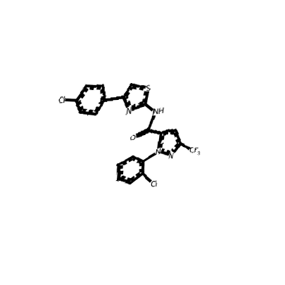 O=C(Nc1nc(-c2ccc(Cl)cc2)cs1)c1cc(C(F)(F)F)nn1-c1ccccc1Cl